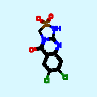 O=c1c2cc(Cl)c(Cl)cc2nc2n1CS(=O)(=O)N2